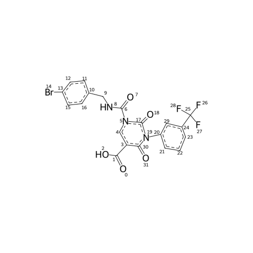 O=C(O)c1cn(C(=O)NCc2ccc(Br)cc2)c(=O)n(-c2cccc(C(F)(F)F)c2)c1=O